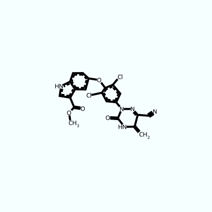 C=C1NC(=O)N(c2cc(Cl)c(Oc3ccc4[nH]cc(C(=O)OC)c4c3)c(Cl)c2)N=C1C#N